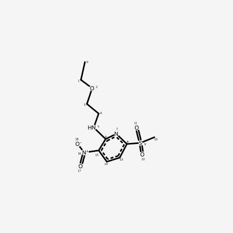 CCOCCNc1nc(S(C)(=O)=O)ccc1[N+](=O)[O-]